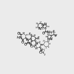 CN(C[C@H]1CC[C@H](n2cc(NC(=O)c3cnn4cccnc34)c(C(F)F)n2)CC1)C1CCN(c2c(F)cc(F)c3c2n(C)c(=O)n3C2CCC(=O)NC2=O)CC1